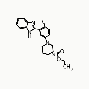 CCOC(=O)[C@@H]1CCCN(c2ccc(Cl)c(-c3nc4ccccc4[nH]3)c2)C1